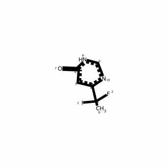 CC(F)(I)c1cc(=O)[nH]cn1